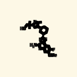 COc1cc2nc(N)n3nc([C@@H]4CCCN(c5cn(C(C)(C)CO)nc5C)C4)nc3c2cc1F